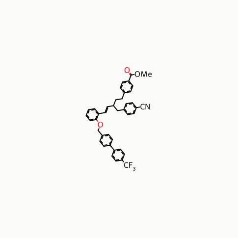 COC(=O)c1ccc(CCC(C=Cc2ccccc2OCc2ccc(-c3ccc(C(F)(F)F)cc3)cc2)Cc2ccc(C#N)cc2)cc1